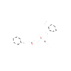 C=C(SNc1ccccc1CC)C(=O)CCC(=O)OCc1ccccc1